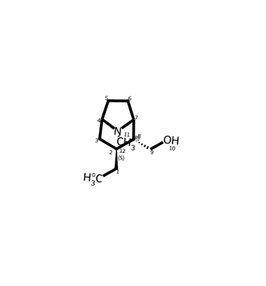 CC[C@H]1CC2CCC([C@@H]1CO)N2C